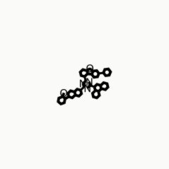 c1ccc(-c2ccc3c(c2)oc2cccc(-c4nc(-c5ccc6cc7c(cc6c5)oc5ccccc57)nc(-c5cc6ccccc6c6ccccc56)n4)c23)cc1